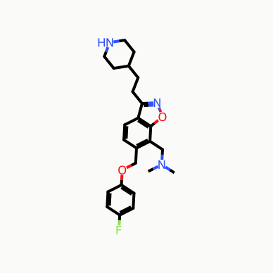 CN(C)Cc1c(COc2ccc(F)cc2)ccc2c(CCC3CCNCC3)noc12